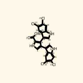 COC(=O)c1[nH]cc(-c2c[nH]c3cc(Cl)c(Cl)cc23)c1-c1c[nH]c2cc(Cl)c(Cl)cc12